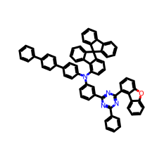 c1ccc(-c2ccc(-c3ccc(N(c4cccc(-c5nc(-c6ccccc6)nc(-c6cccc7oc8ccccc8c67)n5)c4)c4cccc5c4-c4ccccc4C54c5ccccc5-c5ccccc54)cc3)cc2)cc1